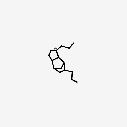 CCC[C@@H]1CCC2C3CC(CCI)C(C3)C21